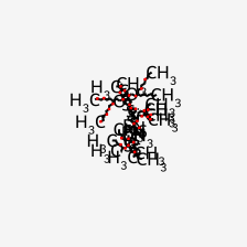 CCCCCCCCC(CCCCCC)COc1c2cc(C(C)C)sc2c(OCC(CCCCCC)CCCCCCCC)c2cc(-c3cc4c(s3)-c3sc(-c5c(F)c(F)c(-c6cc7c(s6)-c6sc(C(C)(C)CC)cc6[Si]7(CC(CC)CCCC)CC(CC)CCCC)c6nsnc56)cc3[Si]4(CC(CC)CCCC)CC(CC)CCCC)sc12